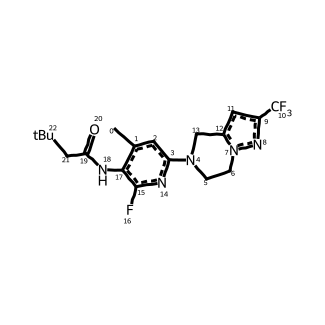 Cc1cc(N2CCn3nc(C(F)(F)F)cc3C2)nc(F)c1NC(=O)CC(C)(C)C